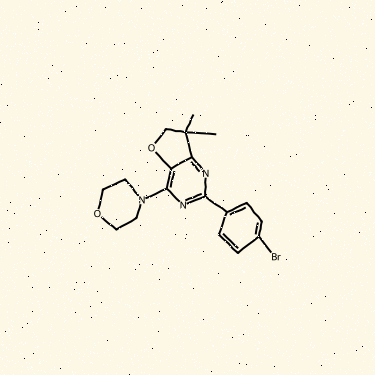 CC1(C)COc2c(N3CCOCC3)nc(-c3ccc(Br)cc3)nc21